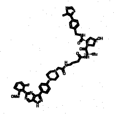 COc1cccc(F)c1-c1ncc2[nH]nc(-c3ccc(N4CCN(CC(=O)NCCCC(=O)N[C@H](C(=O)N5C[C@H](O)C[C@H]5C(=O)NCc5ccc(-c6scnc6C)cc5)C(C)(C)C)CC4)cc3)c2n1